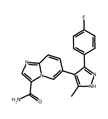 Cc1[nH]nc(-c2ccc(F)cc2)c1-c1ccc2ncc(C(N)=O)n2c1